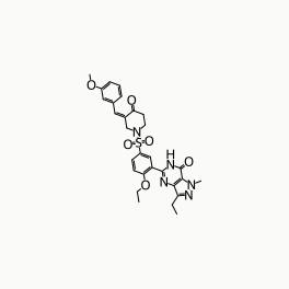 CCOc1ccc(S(=O)(=O)N2CCC(=O)/C(=C\c3cccc(OC)c3)C2)cc1-c1nc2c(CC)nn(C)c2c(=O)[nH]1